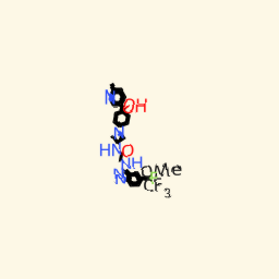 COC(F)(c1ccc2c(c1)c(NCC(=O)NC1CN([C@H]3CC[C@@](O)(c4ccc(C)nc4)CC3)C1)nn2C)C(F)(F)F